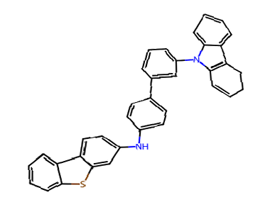 C1=Cc2c(c3ccccc3n2-c2cccc(-c3ccc(Nc4ccc5c(c4)sc4ccccc45)cc3)c2)CC1